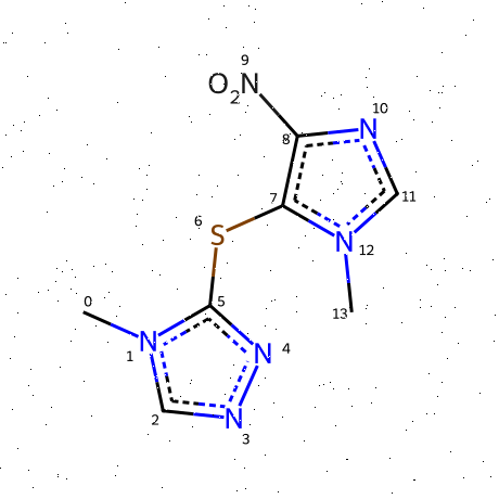 Cn1cnnc1Sc1c([N+](=O)[O-])ncn1C